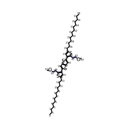 CCCCCCCCCCCCCCc1cc(-c2cc3sc(-c4cc(CCCCCCCCCCCCCC)sc4/C=C/OC)cc3s2)c(/C=C/OC)s1